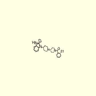 CCc1ccccc1C(=O)N1CCC(N2CCC(n3c(=O)[nH]c4ccccc43)CC2)CC1